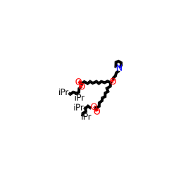 CC(C)CCC(CCOC(=O)CCCCCCCCCC(CCCCCCCCCC(=O)OCCC(CCC(C)C)C(C)C)OCCCCN1CCCCC1)C(C)C